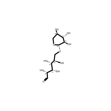 O=C[C@H](O)[C@@H](O)[C@H](O)[C@H](O)CO[C@@H]1OC[C@@H](O)[C@H](O)[C@H]1O